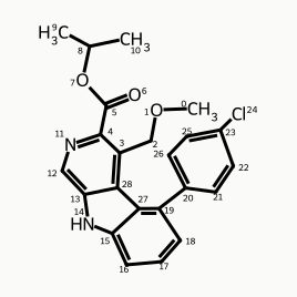 COCc1c(C(=O)OC(C)C)ncc2[nH]c3cccc(-c4ccc(Cl)cc4)c3c12